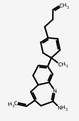 C=CCCC1=CCC(C)(C2=CCC3C=C(C=C)CC(N)=NC3=C2)C=C1